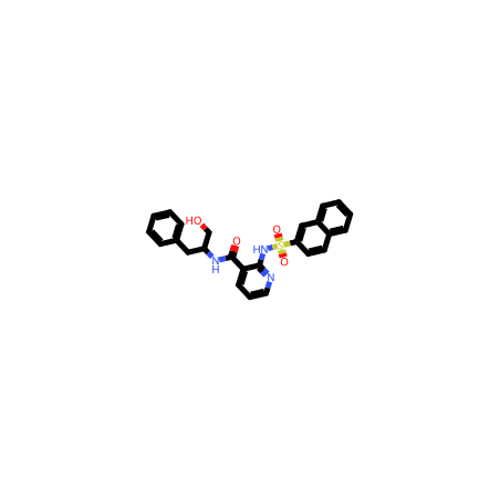 O=C(NC(CO)Cc1ccccc1)c1cccnc1NS(=O)(=O)c1ccc2ccccc2c1